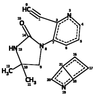 C#Cc1ncccc1N1CC(C)(C)NC1=O.c1cc2ncc1-2